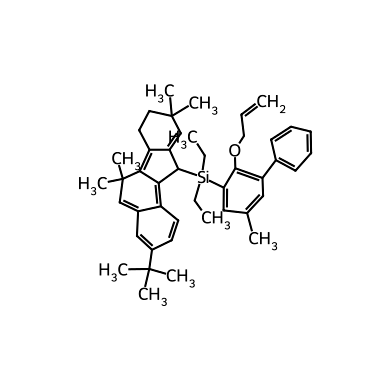 C=CCOc1c(-c2ccccc2)cc(C)cc1[Si](CC)(CC)C1C2=CC(C)(C)CCC2=C2C1=c1ccc(C(C)(C)C)cc1=CC2(C)C